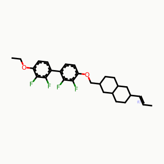 C/C=C/C1CCC2CC(COc3ccc(-c4ccc(OCC)c(F)c4F)c(F)c3F)CCC2C1